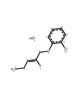 Cl.NC/C=C(\F)COc1ccccc1Cl